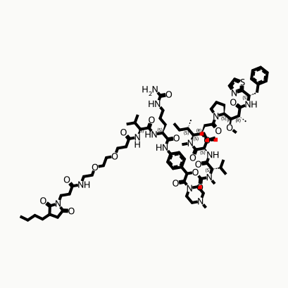 CCCCC1CC(=O)N(CCC(=O)NCCOCCOCCC(=O)N[C@H](C(=O)N[C@@H](CCCNC(N)=O)C(=O)Nc2ccc(C(OC(=O)N(C)[C@H](C(=O)N[C@H](C(=O)N(C)[C@@H]([C@@H](C)CC)[C@@H](CC(=O)N3CCC[C@H]3[C@H](OC)[C@@H](C)C(=O)N[C@@H](Cc3ccccc3)c3nccs3)OC)C(C)C)C(C)C)C(=O)N3CCN(C)CC3)cc2)C(C)C)C1=O